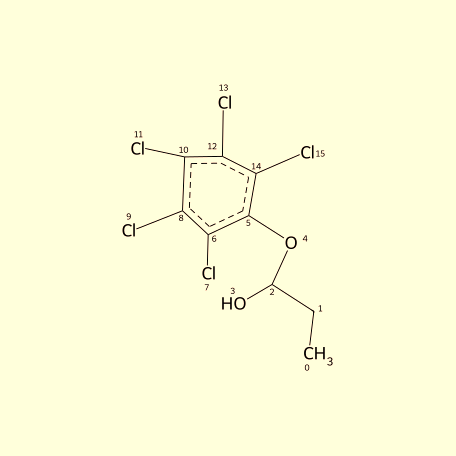 CCC(O)Oc1c(Cl)c(Cl)c(Cl)c(Cl)c1Cl